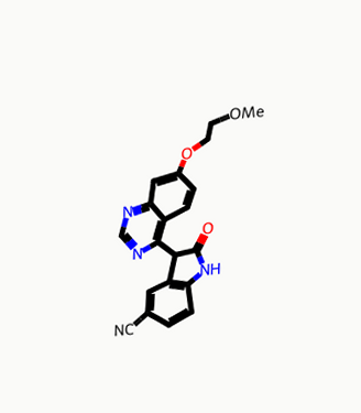 COCCOc1ccc2c(C3C(=O)Nc4ccc(C#N)cc43)ncnc2c1